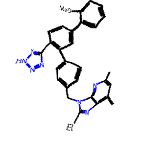 CCc1nc2c(C)cc(C)nc2n1Cc1ccc(-c2cc(-c3ccccc3OC)ccc2-c2nn[nH]n2)cc1